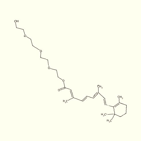 CC(C=CC1=C(C)CCCC1(C)C)=CC=CC(C)=CC(=O)OCCOCCOCCOCCO